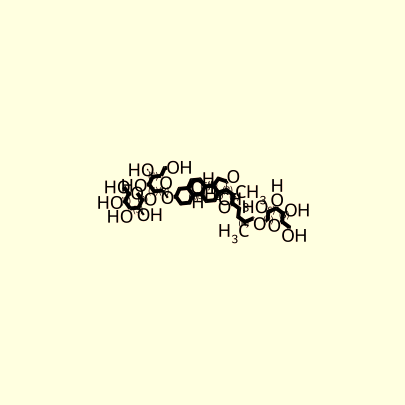 C[C@H](CCC(=O)[C@@H](C)[C@H]1C(=O)C[C@H]2[C@@H]3CC=C4CC(O[C@@H]5OC(CO)[C@@H](O)C(O)[C@@H]5O[C@@H]5OC(O)[C@H](O)C(O)[C@@H]5O)CC[C@]4(C)[C@H]3CC[C@]12C)CO[C@@H]1OC(CO)[C@@H](O)C(O)[C@@H]1O